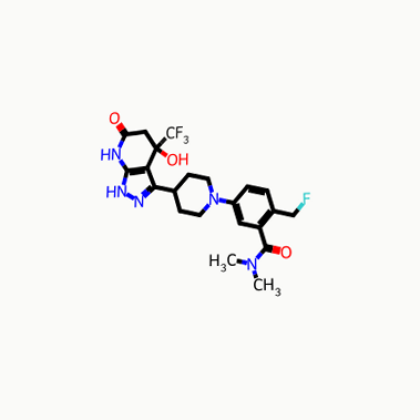 CN(C)C(=O)c1cc(N2CCC(c3n[nH]c4c3C(O)(C(F)(F)F)CC(=O)N4)CC2)ccc1CF